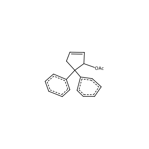 CC(=O)OC1C=CCC1(c1ccccc1)c1ccccc1